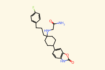 NC(=O)CNC1(CCCc2ccc(F)cc2)CCC(c2ccc3[nH]c(=O)oc3c2)CC1